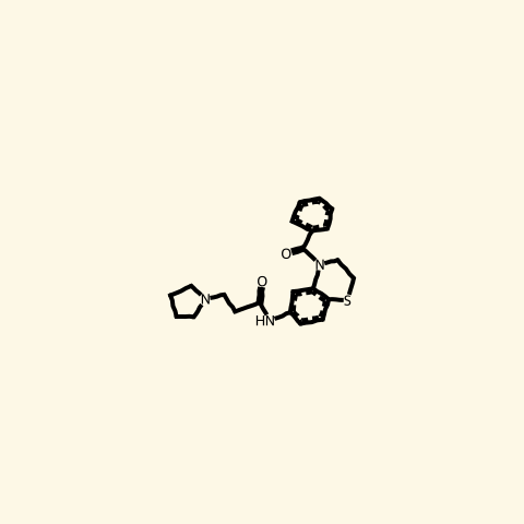 O=C(CCN1CCCC1)Nc1ccc2c(c1)N(C(=O)c1ccccc1)CCS2